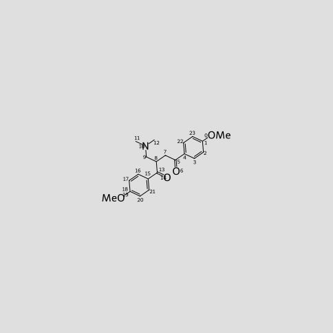 COc1ccc(C(=O)CC(CN(C)C)C(=O)c2ccc(OC)cc2)cc1